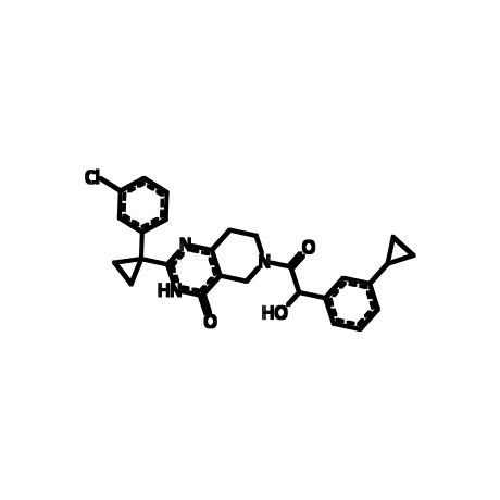 O=C(C(O)c1cccc(C2CC2)c1)N1CCc2nc(C3(c4cccc(Cl)c4)CC3)[nH]c(=O)c2C1